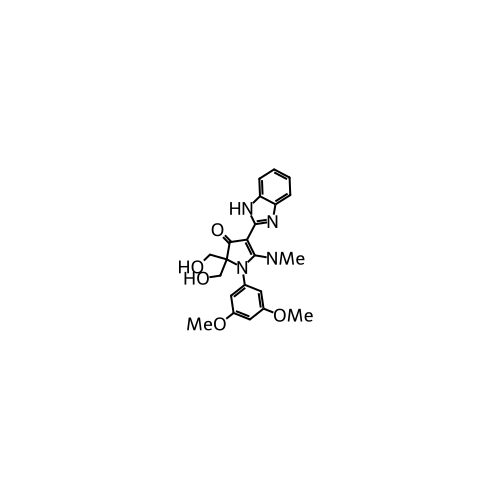 CNC1=C(c2nc3ccccc3[nH]2)C(=O)C(CO)(CO)N1c1cc(OC)cc(OC)c1